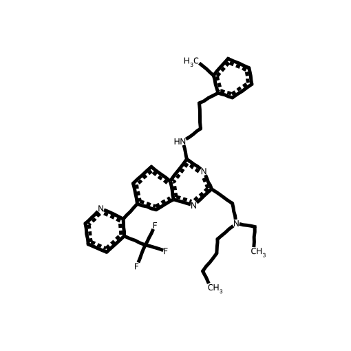 CCCCN(CC)Cc1nc(NCCc2ccccc2C)c2ccc(-c3ncccc3C(F)(F)F)cc2n1